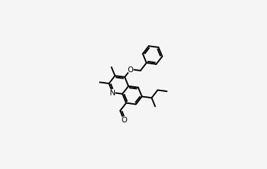 CCC(C)c1cc(C=O)c2nc(C)c(C)c(OCc3ccccc3)c2c1